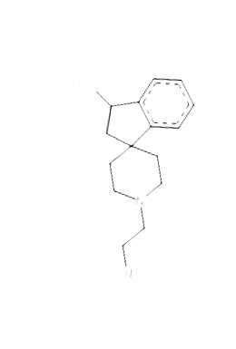 CC(C)(C)CCN1CCC2(CC1)CC(C(=O)O)c1ccccc12